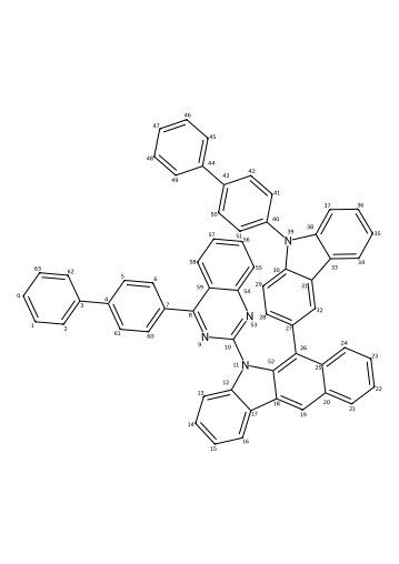 c1ccc(-c2ccc(-c3nc(-n4c5ccccc5c5cc6ccccc6c(-c6ccc7c(c6)c6ccccc6n7-c6ccc(-c7ccccc7)cc6)c54)nc4ccccc34)cc2)cc1